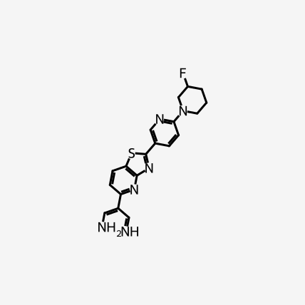 N=C/C(=C\N)c1ccc2sc(-c3ccc(N4CCCC(F)C4)nc3)nc2n1